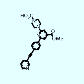 COC(=O)c1cc(-c2ccc(C#Cc3cccnc3)cc2)nc(N2CCN(C(=O)O)CC2)c1